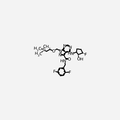 C[Si](C)(C)CCOCn1nc(C(=O)NCc2cc(F)ccc2F)c2c(NC3CC[C@H](F)[C@H]3O)ncnc21